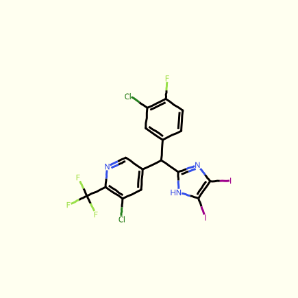 Fc1ccc(C(c2cnc(C(F)(F)F)c(Cl)c2)c2nc(I)c(I)[nH]2)cc1Cl